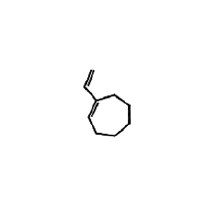 [CH]=CC1=CCCCCC1